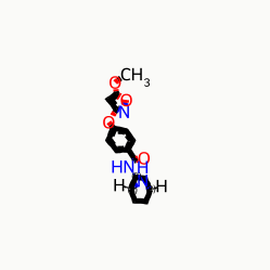 COc1cc(Oc2ccc(C(=O)N[C@@H]3C[C@H]4CC[C@@H]3N4)cc2)no1